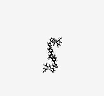 COC(=O)N[C@H](C(=O)N1CCC[C@H]1c1nc(-c2ccc3[nH]c(-c4ccc(-c5cnc([C@@H]6CCCN6C(=O)[C@@H](NC(=O)OC)C(C)C)[nH]5)cc4)cc(=O)c3c2)c[nH]1)C(C)C